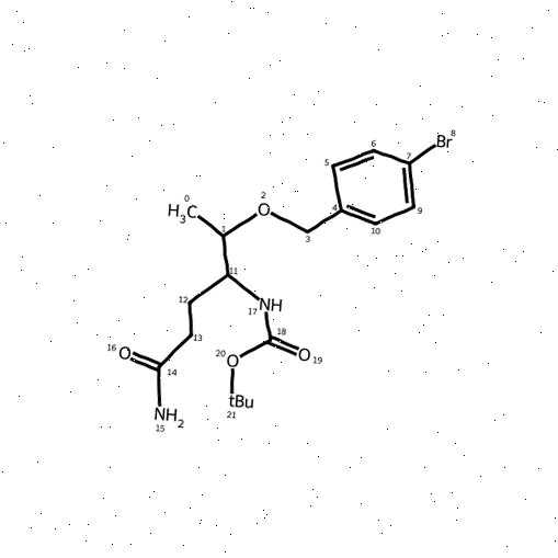 CC(OCc1ccc(Br)cc1)C(CCC(N)=O)NC(=O)OC(C)(C)C